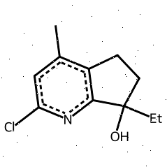 CCC1(O)CCc2c(C)cc(Cl)nc21